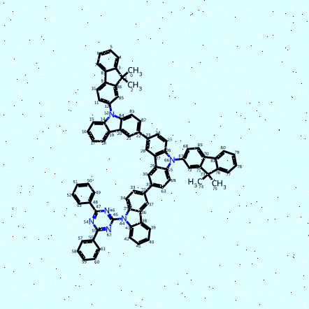 CC1(C)c2ccccc2-c2ccc(-n3c4ccccc4c4cc(-c5ccc6c(c5)c5cc(-c7ccc8c(c7)c7ccccc7n8-c7nc(-c8ccccc8)nc(-c8ccccc8)n7)ccc5n6-c5ccc6c(c5)C(C)(C)c5ccccc5-6)ccc43)cc21